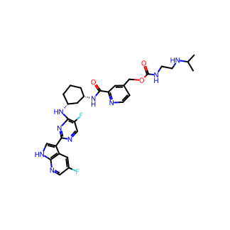 CC(C)NCCNC(=O)OCc1ccnc(C(=O)N[C@H]2CCC[C@@H](Nc3nc(-c4c[nH]c5ncc(F)cc45)ncc3F)C2)c1